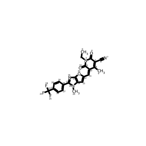 CCN1C(=O)C(C#N)=C(C)/C(=C/c2cc3c(nc(-c4ccc(C(F)(F)F)cc4)n3C)o2)C1=O